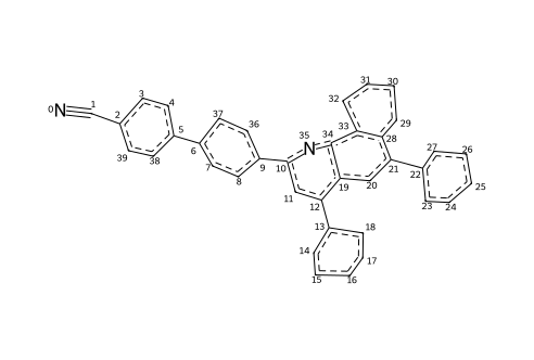 N#Cc1ccc(-c2ccc(-c3cc(-c4ccccc4)c4cc(-c5ccccc5)c5ccccc5c4n3)cc2)cc1